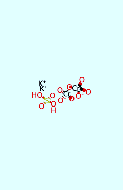 O=S(=O)(O)O.[K+].[K+].[O]=[Cr](=[O])([O-])[O][Cr](=[O])(=[O])[O-]